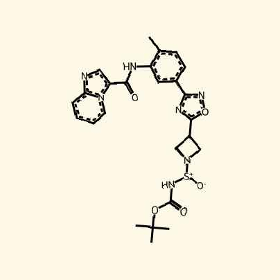 Cc1ccc(-c2noc(C3CN([S+]([O-])NC(=O)OC(C)(C)C)C3)n2)cc1NC(=O)c1cnc2ccccn12